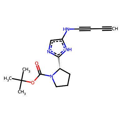 C#CC#CNc1cnc([C@@H]2CCCN2C(=O)OC(C)(C)C)[nH]1